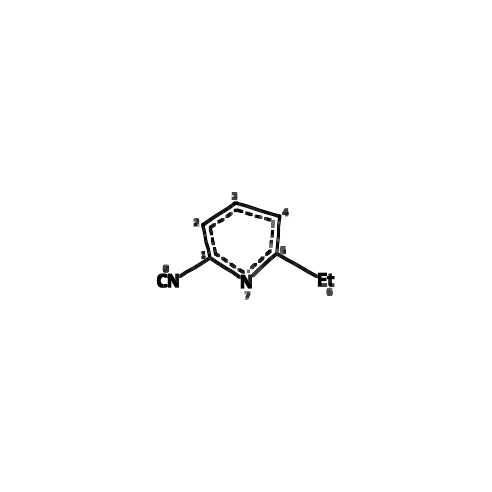 [C-]#[N+]c1cccc(CC)n1